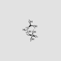 O=C(O)O.O=S(=O)(O)O.[LiH].[LiH]